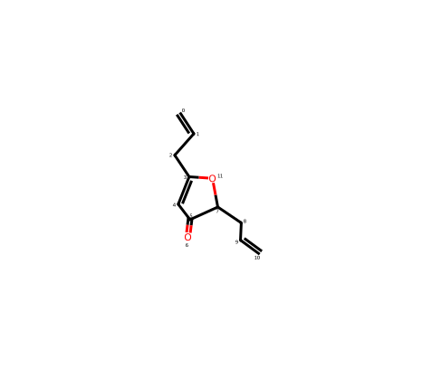 C=CCC1=CC(=O)C(CC=C)O1